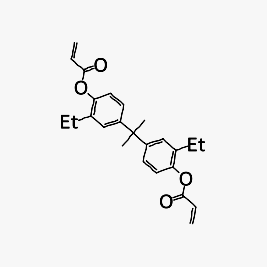 C=CC(=O)Oc1ccc(C(C)(C)c2ccc(OC(=O)C=C)c(CC)c2)cc1CC